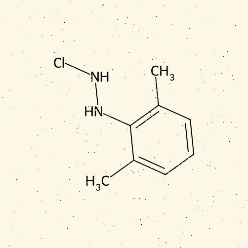 Cc1cccc(C)c1NNCl